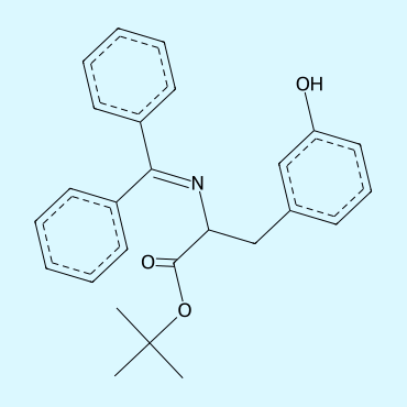 CC(C)(C)OC(=O)C(Cc1cccc(O)c1)N=C(c1ccccc1)c1ccccc1